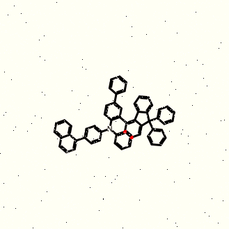 c1ccc(-c2ccc(N(c3ccccc3)c3ccc(-c4cccc5ccccc45)cc3)c(-c3cccc4c3-c3ccccc3C4(c3ccccc3)c3ccccc3)c2)cc1